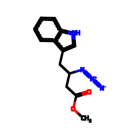 COC(=O)CC(Cc1c[nH]c2ccccc12)N=[N+]=[N-]